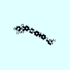 CC(=O)c1nccc(COc2ccc(C(C)(C)c3ccc(N4CCN(c5ccc6c(c5)C(=O)N(C5CCC(=O)NC5=O)C6=O)CC4)cc3)cc2)n1